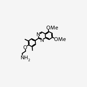 COc1cc(OC)c2cnc(-c3cc(C)c(OCCN)c(C)c3)nc2c1